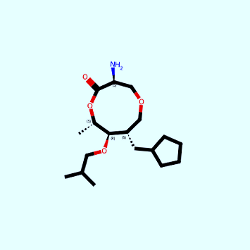 CC(C)CO[C@@H]1[C@@H](CC2CCCC2)COC[C@H](N)C(=O)O[C@H]1C